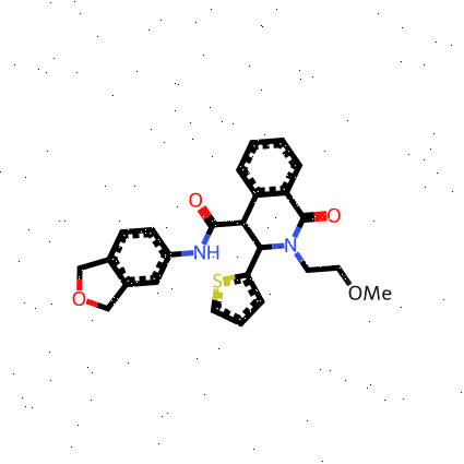 COCCN1C(=O)c2ccccc2C(C(=O)Nc2ccc3c(c2)COC3)C1c1cccs1